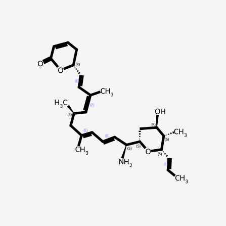 C/C=C/[C@@H]1O[C@H]([C@@H](N)/C=C/C=C(\C)C[C@@H](C)/C=C(C)\C=C\[C@H]2CC=CC(=O)O2)C[C@@H](O)[C@@H]1C